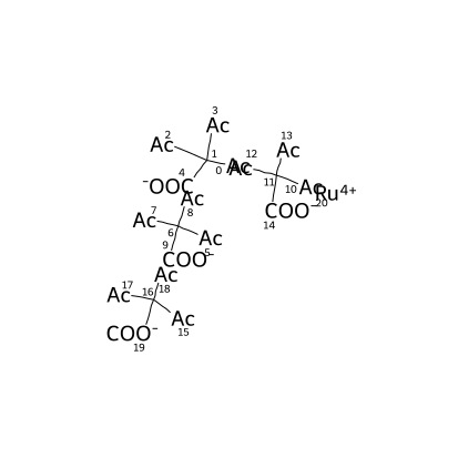 CC(=O)C(C(C)=O)(C(C)=O)C(=O)[O-].CC(=O)C(C(C)=O)(C(C)=O)C(=O)[O-].CC(=O)C(C(C)=O)(C(C)=O)C(=O)[O-].CC(=O)C(C(C)=O)(C(C)=O)C(=O)[O-].[Ru+4]